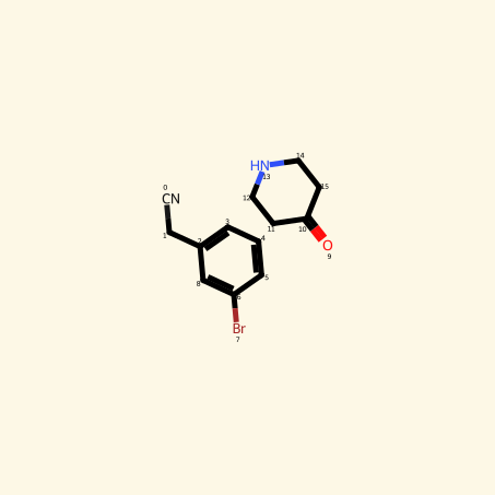 N#CCc1cccc(Br)c1.O=C1CCNCC1